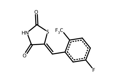 O=C1NC(=O)C(=Cc2cc(F)ccc2C(F)(F)F)S1